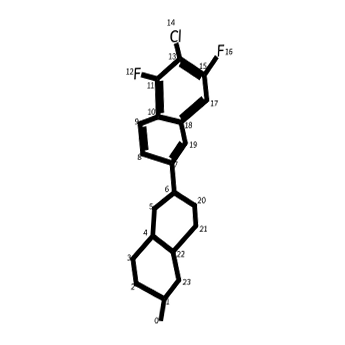 CC1CCC2CC(c3ccc4c(F)c(Cl)c(F)cc4c3)CCC2C1